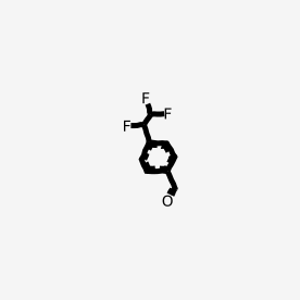 O=Cc1ccc(C(F)C(F)F)cc1